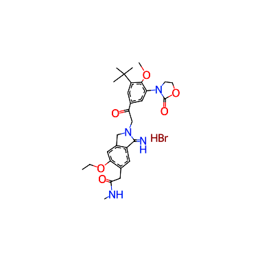 Br.CCOc1cc2c(cc1CC(=O)NC)C(=N)N(CC(=O)c1cc(N3CCOC3=O)c(OC)c(C(C)(C)C)c1)C2